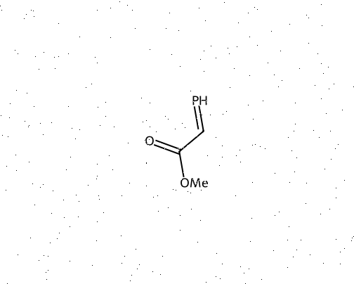 COC(=O)C=P